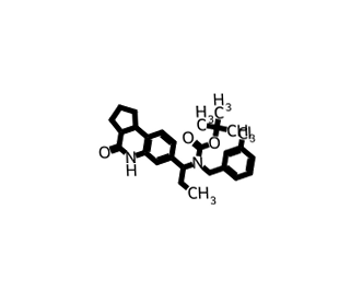 CCC(c1ccc2c(c1)NC(=O)C1CCCC21)N(Cc1cccc(Cl)c1)C(=O)OC(C)(C)C